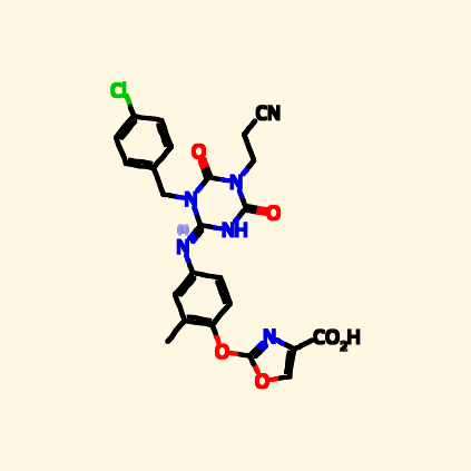 Cc1cc(/N=c2\[nH]c(=O)n(CCC#N)c(=O)n2Cc2ccc(Cl)cc2)ccc1Oc1nc(C(=O)O)co1